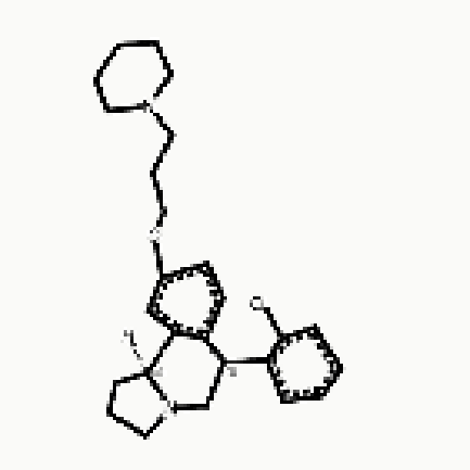 Clc1ccccc1[C@H]1CN2CCC[C@H]2c2cc(OCCCN3CCCCC3)ccc21